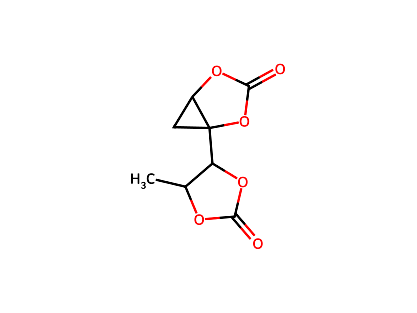 CC1OC(=O)OC1C12CC1OC(=O)O2